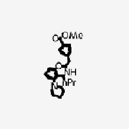 CCCC(NC(=O)Cc1ccc(C(=O)OC)cc1)c1ccccc1N1CCCCC1